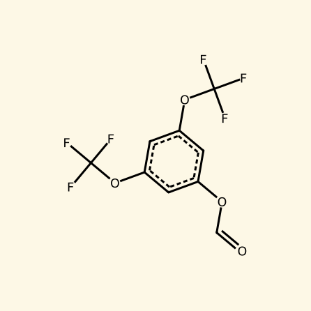 O=COc1cc(OC(F)(F)F)cc(OC(F)(F)F)c1